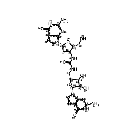 Nc1nc2c(ncn2[C@@H]2O[C@H](CNC(=O)N[C@H]3C[C@H](n4cnc5c(=O)[nH]c(N)nc54)O[C@@H]3CO)[C@@H](O)[C@H]2O)c(=O)[nH]1